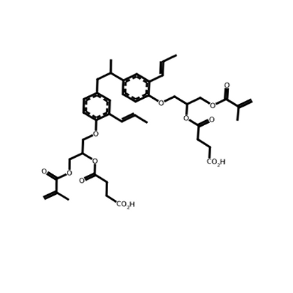 C=C(C)C(=O)OCC(COc1ccc(CC(C)c2ccc(OCC(COC(=O)C(=C)C)OC(=O)CCC(=O)O)c(C=CC)c2)cc1C=CC)OC(=O)CCC(=O)O